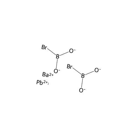 [Ba+2].[O-]B([O-])Br.[O-]B([O-])Br.[Pb+2]